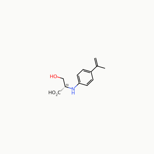 C=C(C)c1ccc(N[C@@H](CO)C(=O)O)cc1